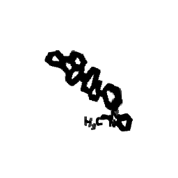 CCc1nc2ccccc2n1-c1cccc(-c2ccc3cc(-c4ccc5c6c(cccc46)-c4ccccc4-5)ccc3c2)c1